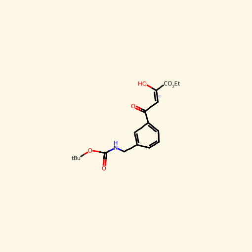 CCOC(=O)/C(O)=C/C(=O)c1cccc(CNC(=O)OC(C)(C)C)c1